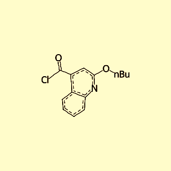 CCCCOc1cc(C(=O)Cl)c2ccccc2n1